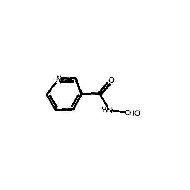 O=CNC(=O)c1cccnc1